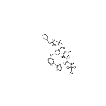 C=C[C@@H]1C[C@]1(NC(=O)[C@@H]1C[C@@H](Oc2ccnc(-c3nccs3)c2)CN1C(=O)[C@@H](NC(=O)OC1CCCC1)C(C)(C)C)C(=O)NS(=O)(=O)C1CC1